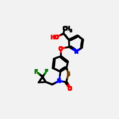 CC(O)c1cccnc1Oc1ccc2c(c1)sc(=O)n2CC1CC1(F)F